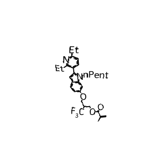 C=C(C)C(=O)OCC(COc1ccc2cc(-c3ccc(CC)nc3CC)n(CCCCC)c2c1)C(F)(F)F